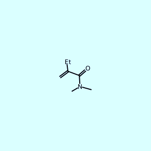 C=C(CC)C(=O)N(C)C